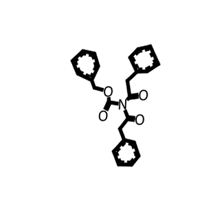 O=C(Cc1ccccc1)N(C(=O)Cc1ccccc1)C(=O)OCc1ccccc1